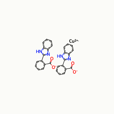 O=C([O-])c1ccccc1-c1nc2ccccc2[nH]1.O=C([O-])c1ccccc1-c1nc2ccccc2[nH]1.[Cu+2]